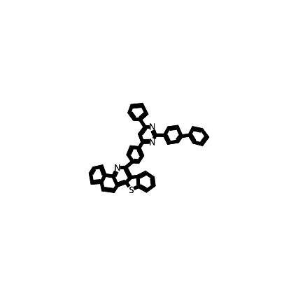 c1ccc(-c2ccc(-c3nc(-c4ccccc4)cc(-c4ccc(-c5nc6c7ccccc7ccc6c6sc7ccccc7c56)cc4)n3)cc2)cc1